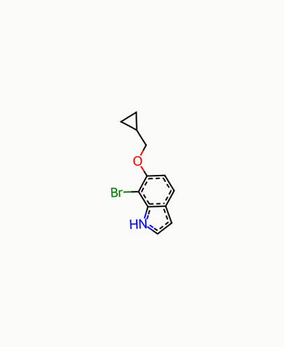 Brc1c(OCC2CC2)ccc2cc[nH]c12